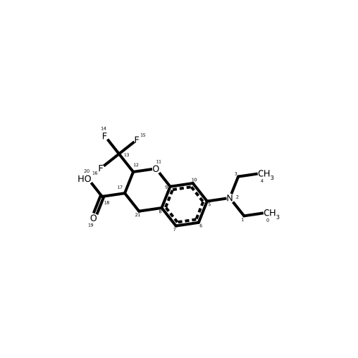 CCN(CC)c1ccc2c(c1)OC(C(F)(F)F)C(C(=O)O)C2